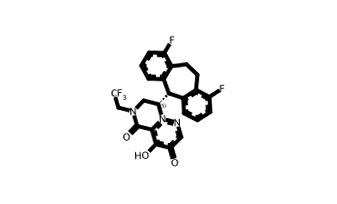 O=C1c2c(O)c(=O)cnn2[C@@H](C2c3cccc(F)c3CCc3c(F)cccc32)CN1CC(F)(F)F